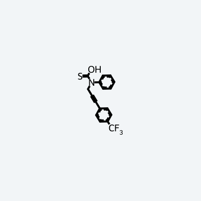 OC(=S)N(CC#Cc1ccc(C(F)(F)F)cc1)c1ccccc1